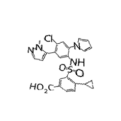 Cn1nccc1-c1cc(NS(=O)(=O)c2cc(C(=O)O)ccc2C2CC2)c(-n2cccc2)cc1Cl